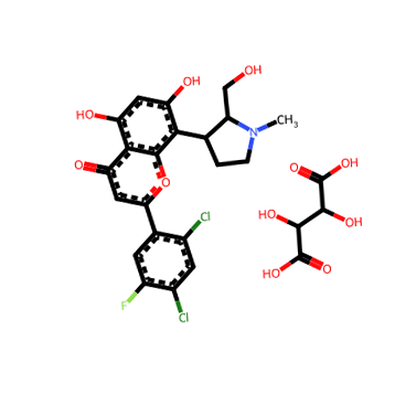 CN1CCC(c2c(O)cc(O)c3c(=O)cc(-c4cc(F)c(Cl)cc4Cl)oc23)C1CO.O=C(O)C(O)C(O)C(=O)O